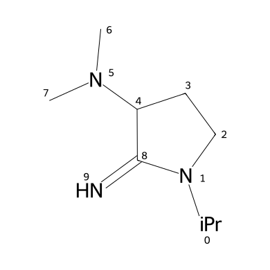 CC(C)N1CCC(N(C)C)C1=N